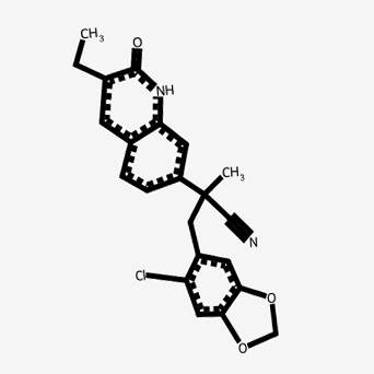 CCc1cc2ccc(C(C)(C#N)Cc3cc4c(cc3Cl)OCO4)cc2[nH]c1=O